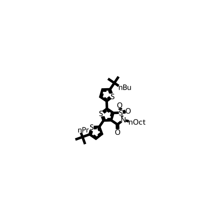 CCCCCCCCN1C(=O)c2c(-c3ccc(C(C)(C)CCC)s3)sc(-c3ccc(C(C)(C)CCCC)s3)c2S1(=O)=O